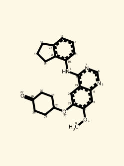 COc1cc2ncnc(Nc3cccc4c3CCC4)c2cc1OC1CCC(=O)CC1